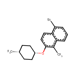 CCc1cccc2c(C(F)(F)F)c(O[C@H]3CC[C@@H](C(F)(F)F)CC3)ccc12